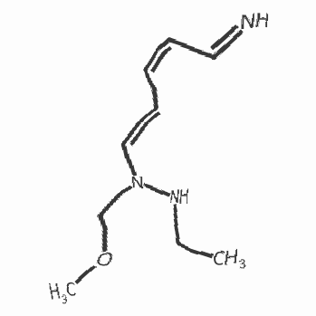 CCNN(/C=C/C=C\C=N)COC